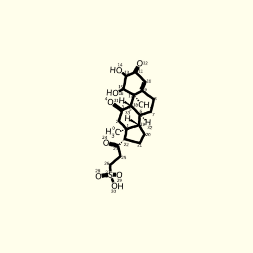 C[C@]12CC(=O)[C@H]3[C@@H](CCC4=CC(=O)C(O)C(O)[C@@]43C)[C@@H]1CC[C@@H]2C(=O)CCS(=O)(=O)O